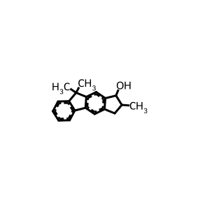 CC1Cc2cc3c(cc2C1O)C(C)(C)c1ccccc1-3